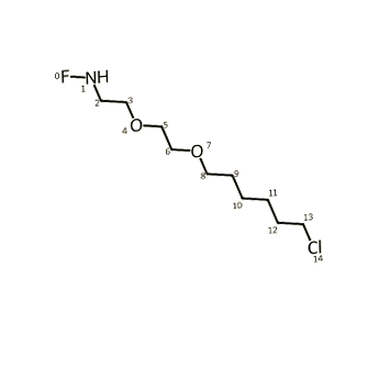 FNCCOCCOCCCCCCCl